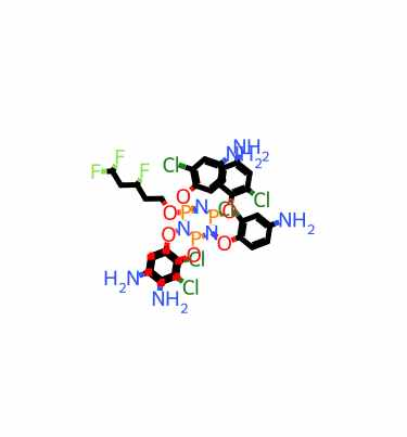 Nc1ccc(ON2P(Oc3ccc(N)cc3Cl)N=P(OCCC(F)CC(F)F)(Oc3ccc(N)cc3Cl)N(Oc3ccc(N)cc3Cl)P2Oc2ccc(N)cc2Cl)c(Cl)c1